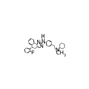 CN(CCc1ccc(Nc2ncc3c(n2)-c2ccccc2[C@H](c2ccccc2F)C3)cc1)C1CCCCC1